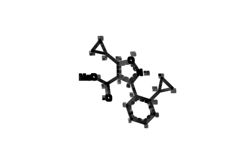 COC(=O)c1c(-c2ccccc2C2CC2)noc1C1CC1